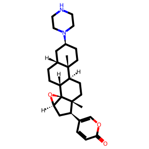 C[C@]12CC[C@H](N3CCNCC3)C[C@H]1CC[C@@H]1[C@@H]2CC[C@]2(C)[C@@H](c3ccc(=O)oc3)C[C@H]3O[C@]132